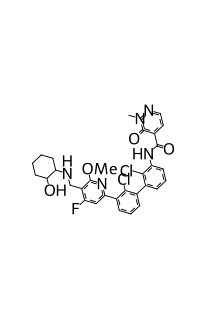 COc1nc(-c2cccc(-c3cccc(NC(=O)c4ccnn(C)c4=O)c3Cl)c2Cl)cc(F)c1CNC1CCCCC1O